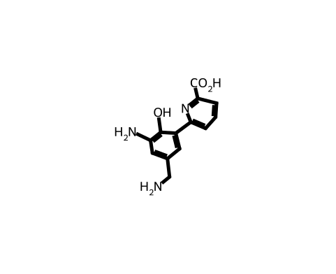 NCc1cc(N)c(O)c(-c2cccc(C(=O)O)n2)c1